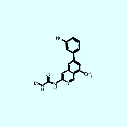 CCNC(=O)Nc1cc2cc(-c3cccc(C#N)c3)cc(C)c2cn1